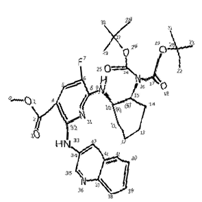 COC(=O)c1cc(F)c(N[C@@H]2CCCC[C@@H]2N(C(=O)OC(C)(C)C)C(=O)OC(C)(C)C)nc1Nc1cnc2ccccc2c1